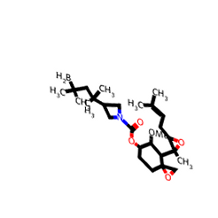 BC(C)(C)CC(C)(C)C1CN(C(=O)OC2CCC3(CO3)C(C3(C)OC3CC=C(C)C)C2OC)C1